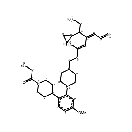 COc1ccc(C2CCN(C(=O)CC(C)(C)C)CC2)c(N2CCC(CO/C(C)=C/C(=C\C=N)C(CC(=O)O)C3CC3)CC2)c1